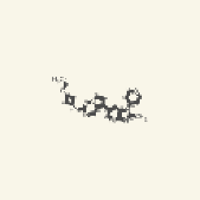 CCO[C@H]1C[C@@H](Nc2ncc3c(-c4cnc5nc(C)n(C6CCOCC6)c5c4)ccn3n2)C1